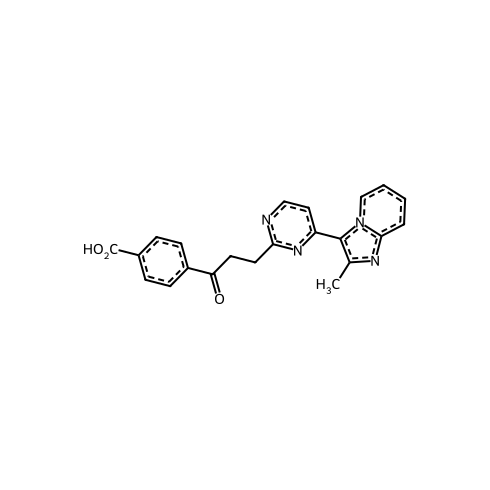 Cc1nc2ccccn2c1-c1ccnc(CCC(=O)c2ccc(C(=O)O)cc2)n1